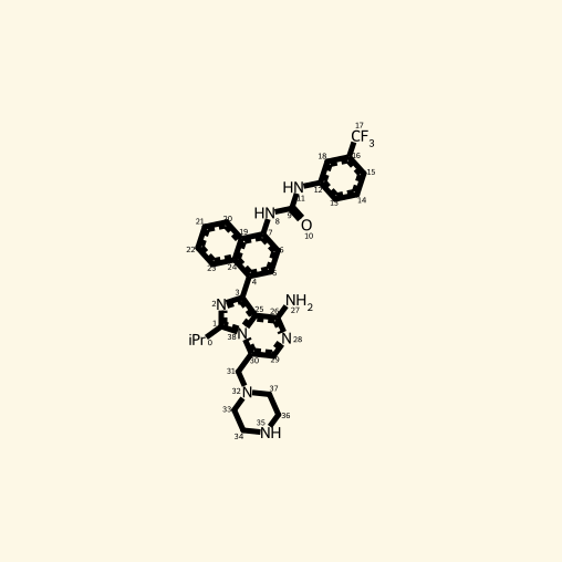 CC(C)c1nc(-c2ccc(NC(=O)Nc3cccc(C(F)(F)F)c3)c3ccccc23)c2c(N)ncc(CN3CCNCC3)n12